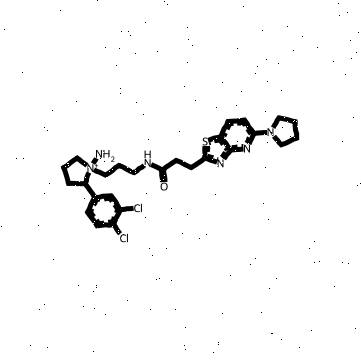 N[N+]1(CCCNC(=O)CCc2nc3nc(N4CCCC4)ccc3s2)CCCC1c1ccc(Cl)c(Cl)c1